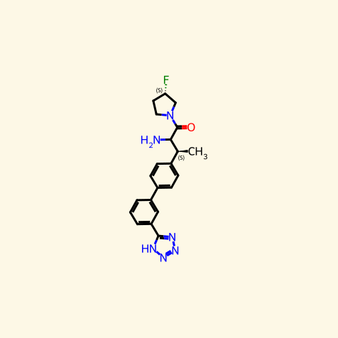 C[C@@H](c1ccc(-c2cccc(-c3nnn[nH]3)c2)cc1)C(N)C(=O)N1CC[C@H](F)C1